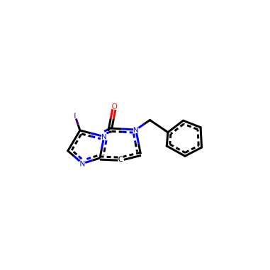 O=c1n(Cc2ccccc2)ccc2ncc(I)n12